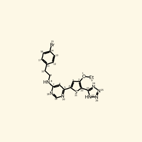 CCOc1cc(-c2cc(NCCc3ccc(Br)cc3)ncn2)sc1-c1nnn[nH]1